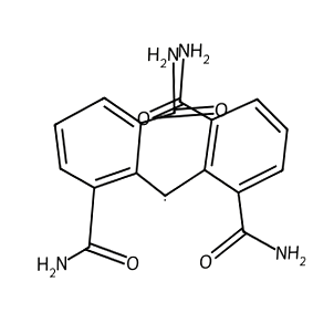 NC(=O)c1cccc(C(N)=O)c1[CH]c1c(C(N)=O)cccc1C(N)=O